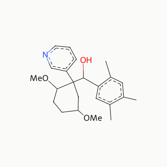 COC1CCC(OC)C(c2cccnc2)(C(O)c2cc(C)c(C)cc2C)C1